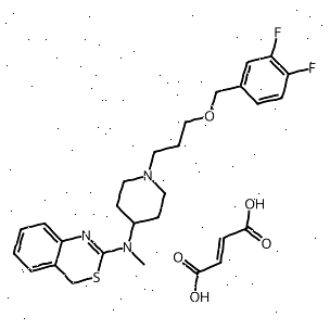 CN(C1=Nc2ccccc2CS1)C1CCN(CCCOCc2ccc(F)c(F)c2)CC1.O=C(O)C=CC(=O)O